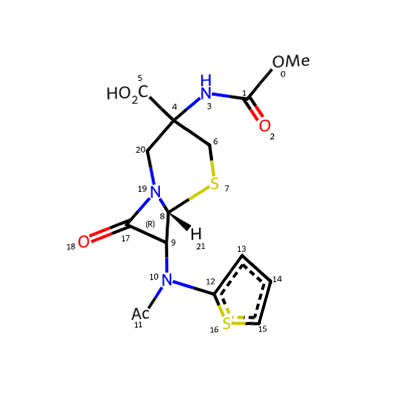 COC(=O)NC1(C(=O)O)CS[C@@H]2C(N(C(C)=O)c3cccs3)C(=O)N2C1